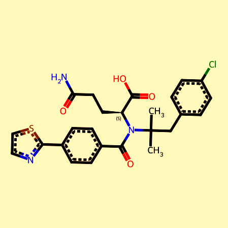 CC(C)(Cc1ccc(Cl)cc1)N(C(=O)c1ccc(-c2nccs2)cc1)[C@@H](CCC(N)=O)C(=O)O